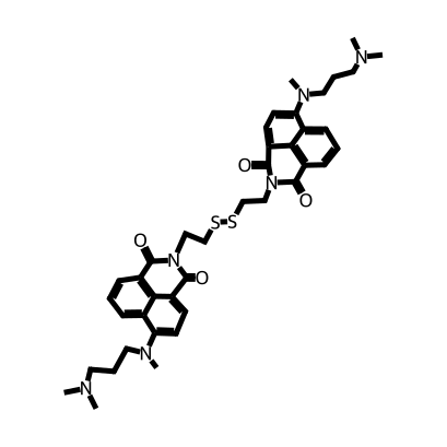 CN(C)CCCN(C)c1ccc2c3c(cccc13)C(=O)N(CCSSCCN1C(=O)c3cccc4c(N(C)CCCN(C)C)ccc(c34)C1=O)C2=O